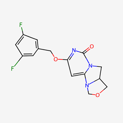 O=c1nc(OCc2cc(F)cc(F)c2)cc2n1CC1COCN21